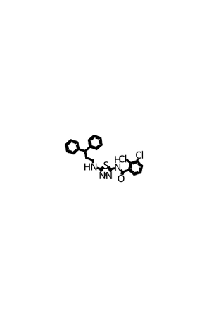 O=C(Nc1nnc(NCCC(c2ccccc2)c2ccccc2)s1)c1cccc(Cl)c1Cl